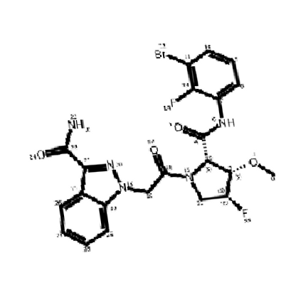 CO[C@H]1[C@@H](C(=O)Nc2cccc(Br)c2F)N(C(=O)Cn2nc(C(N)=O)c3ccccc32)C[C@@H]1F